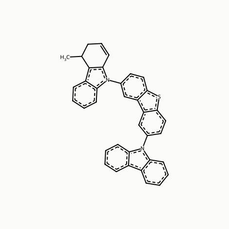 CC1CC=Cc2c1c1ccccc1n2-c1ccc2sc3ccc(-n4c5ccccc5c5ccccc54)cc3c2c1